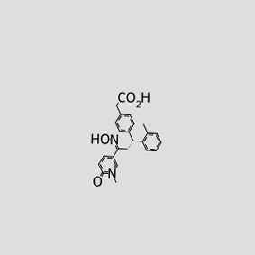 Cc1ccccc1[C@H](CC(=NO)c1ccc(=O)n(C)c1)c1ccc(CC(=O)O)cc1